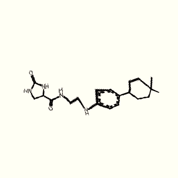 CC1(C)CCC(c2ccc(NCCNC(=O)C3CNC(=O)N3)cc2)CC1